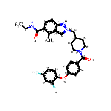 Cc1c(C(=O)NCC(F)(F)F)ccc2nn(CC3CCN(C(=O)c4ccc(Oc5ccc(F)cc5F)cc4)CC3)cc12